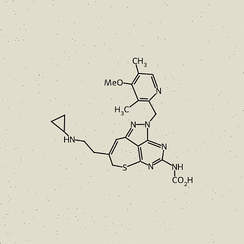 COc1c(C)cnc(Cn2nc3c4c(nc(NC(=O)O)nc42)SCC(CCNC2CC2)=C3)c1C